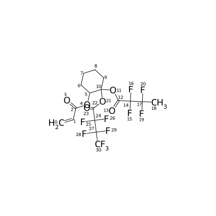 C=CC(=O)OC1CCCCC1(OC(=O)C(F)(F)C(C)(F)F)OC(=O)C(F)(F)C(F)(F)C(F)(F)F